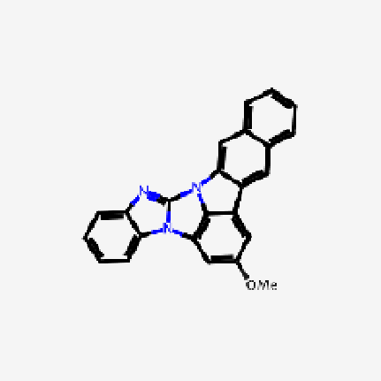 COc1cc2c3cc4ccccc4cc3n3c2c(c1)n1c2ccccc2nc13